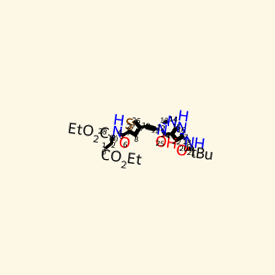 CCOC(=O)CC[C@@H](NC(=O)c1cc(C#CN2C=Nc3[nH]c(NC(=O)C(C)(C)C)cc3C2O)cs1)C(=O)OCC